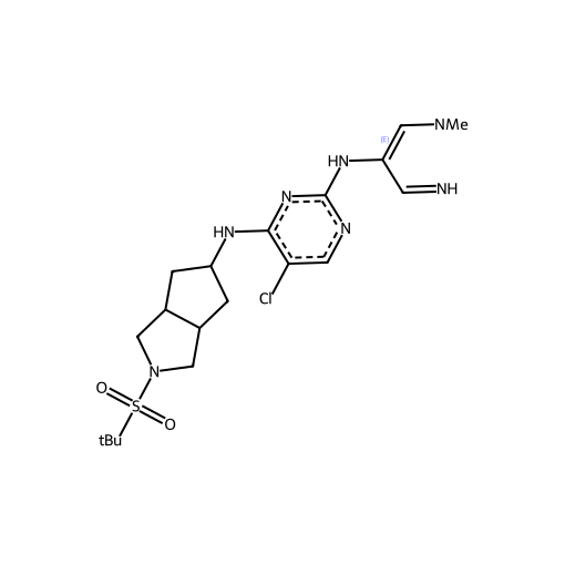 CN/C=C(\C=N)Nc1ncc(Cl)c(NC2CC3CN(S(=O)(=O)C(C)(C)C)CC3C2)n1